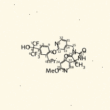 CCCc1cc(C(O)(C(F)(F)F)C(F)(F)F)ccc1Oc1cc(CN2C(=O)NC(C)(c3ccc(OC)nc3)C2=O)ccn1